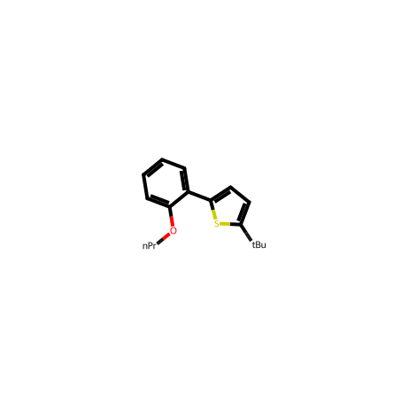 CCCOc1ccccc1-c1ccc(C(C)(C)C)s1